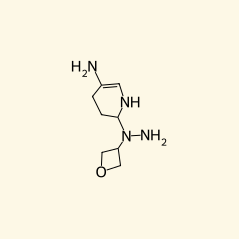 NC1=CNC(N(N)C2COC2)CC1